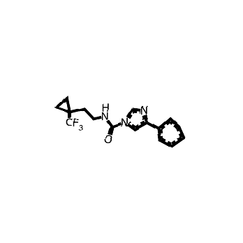 O=C(NCCC1(C(F)(F)F)CC1)n1cnc(-c2ccccc2)c1